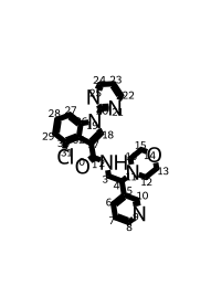 O=C(NCC(c1cccnc1)N1CCOCC1)c1cn(-c2ncccn2)c2cccc(Cl)c12